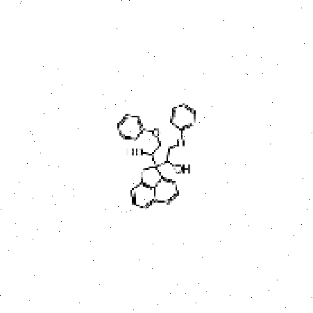 OC(COc1ccccc1)C1(C(O)COc2ccccc2)Cc2cccc3cccc1c23